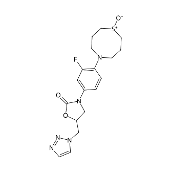 O=C1OC(Cn2ccnn2)CN1c1ccc(N2CCC[S+]([O-])CCC2)c(F)c1